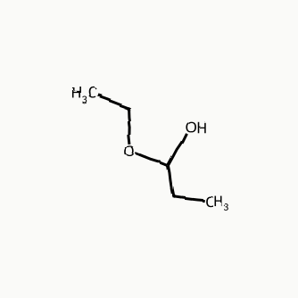 CCOC(O)CC